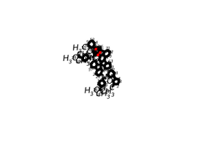 Cc1cccc2c1oc1c(N(c3ccc(C(C)(C)C)cc3)c3ccc4c(c3)C3(c5cc(N(c6ccc(C(C)(C)C)cc6)c6cccc7c6oc6c(C)cccc67)ccc5-4)c4ccccc4-c4c3cc3c5c(cccc45)-c4ccccc4-3)cccc12